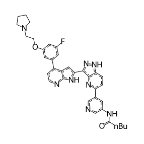 CCCCC(=O)Nc1cncc(-c2ccc3[nH]nc(-c4cc5c(-c6cc(F)cc(OCCN7CCCC7)c6)ccnc5[nH]4)c3n2)c1